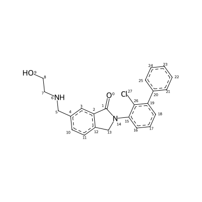 O=C1c2cc(CNCCO)ccc2CN1c1cccc(-c2ccccc2)c1Cl